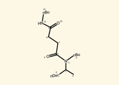 CCCCCCCCCCC(C)N(CCCC)C(=O)CCC(=O)NCCCC